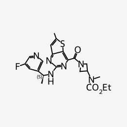 CCOC(=O)N(C)C1CN(C(=O)c2nc(N[C@@H](C)c3cncc(F)c3)nc3cc(C)sc23)C1